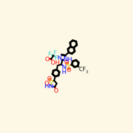 O=C(O)C(F)(F)F.O=C1CC(c2ccc(CC(NS(=O)(=O)c3cccc(C(F)(F)F)c3)c3ncc(-c4ccc5ccccc5c4)[nH]3)cc2)S(=O)(=O)N1